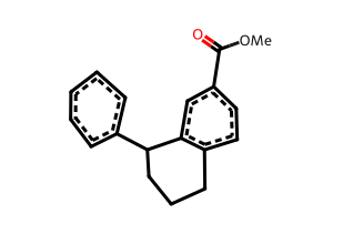 COC(=O)c1ccc2c(c1)C(c1ccccc1)CCC2